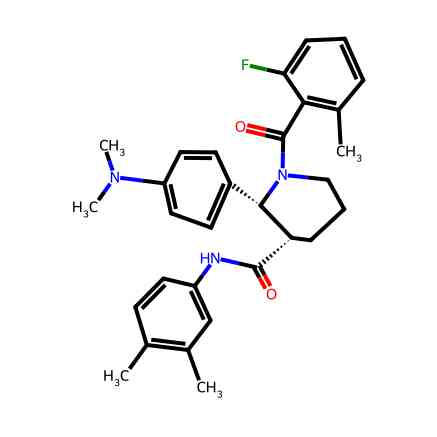 Cc1ccc(NC(=O)[C@H]2CCCN(C(=O)c3c(C)cccc3F)[C@H]2c2ccc(N(C)C)cc2)cc1C